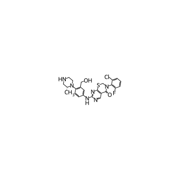 C[C@@H]1CNCCN1c1ccc(Nc2ncc3c(n2)SCN(c2c(F)cccc2Cl)C3=O)cc1CO